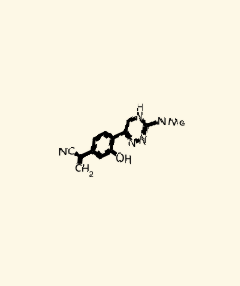 C=C(C#N)c1ccc(C2=NN=C(NC)NC2)c(O)c1